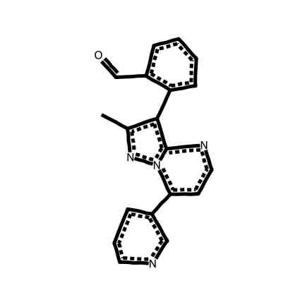 Cc1nn2c(-c3cccnc3)ccnc2c1-c1ccccc1C=O